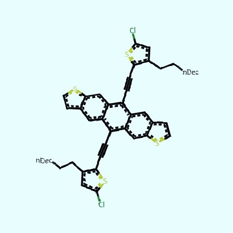 CCCCCCCCCCCCc1cc(Cl)sc1C#Cc1c2cc3ccsc3cc2c(C#Cc2sc(Cl)cc2CCCCCCCCCCCC)c2cc3ccsc3cc12